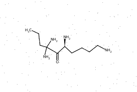 CCCC(N)(N)C(=O)[C@@H](N)CCCCN